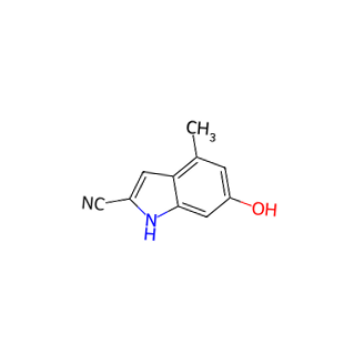 Cc1cc(O)cc2[nH]c(C#N)cc12